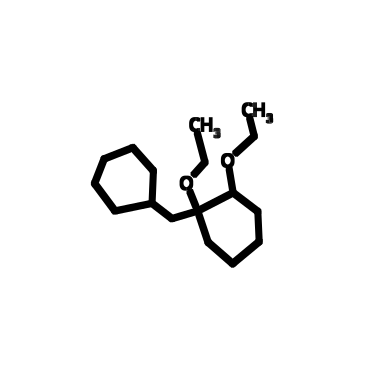 CCOC1CCCCC1(CC1CCCCC1)OCC